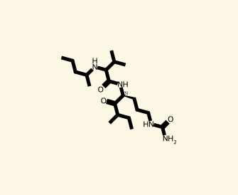 CCCC(C)NC(C(=O)N[C@@H](CCCNC(N)=O)C(=O)C(C)CC)C(C)C